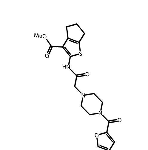 COC(=O)c1c(NC(=O)CN2CCN(C(=O)c3ccco3)CC2)sc2c1CCC2